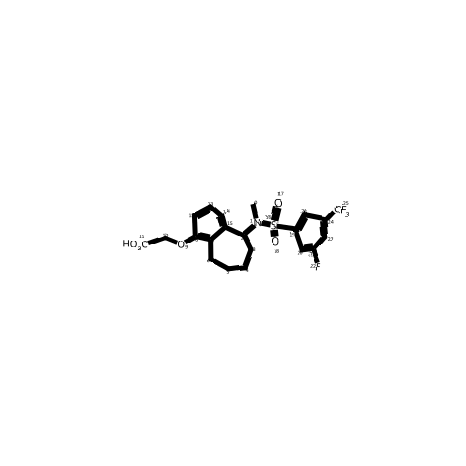 CN(C1CCCCc2c(OCC(=O)O)cccc21)S(=O)(=O)c1cc(F)cc(C(F)(F)F)c1